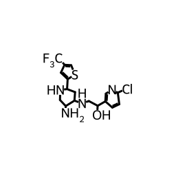 NC1CNC(c2cc(C(F)(F)F)cs2)CC1NCC(O)c1ccc(Cl)nc1